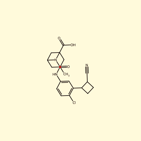 CC1CC2CC(C(=O)O)(C1)N2C(=O)Nc1ccc(Cl)c(C2CCC2C#N)c1